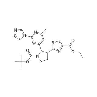 CCOC(=O)c1csc(C2CCN(C(=O)OC(C)(C)C)C2c2cc(C)nc(-n3ccnc3)n2)n1